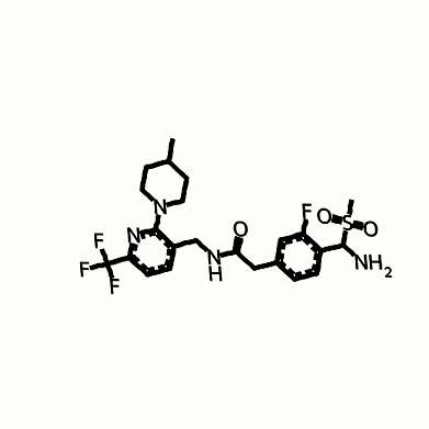 CC1CCN(c2nc(C(F)(F)F)ccc2CNC(=O)Cc2ccc(C(N)S(C)(=O)=O)c(F)c2)CC1